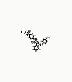 CC(C)c1ccc(Cn2nc(C(=O)NC3=CCC(S(C)(=O)=O)C=C3)c3ccccc32)cc1